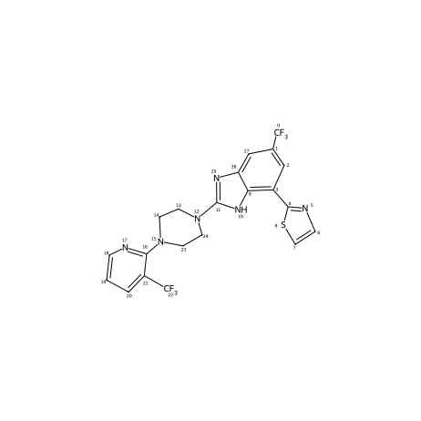 FC(F)(F)c1cc(-c2nccs2)c2[nH]c(N3CCN(c4ncccc4C(F)(F)F)CC3)nc2c1